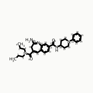 CCCN(CCC)C(=O)C1=Cc2ccc(C(=O)NC3CCN(c4ccccc4)CC3)cc2N=C(N)C1